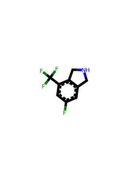 Fc1cc2c(c(C(F)(F)F)c1)CNC2